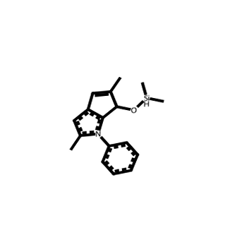 CC1=Cc2cc(C)n(-c3ccccc3)c2C1O[SiH](C)C